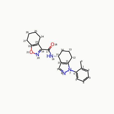 Cc1ccccc1-n1ncc2c1CCC[C@H]2NC(=O)c1noc2c1CCCC2